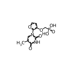 Cc1cn(-c2occc2OCP(=O)(O)O)c(=O)[nH]c1=O